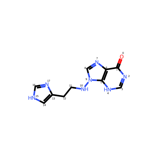 O=c1nc[nH]c2c1ncn2NCCc1c[nH]cn1